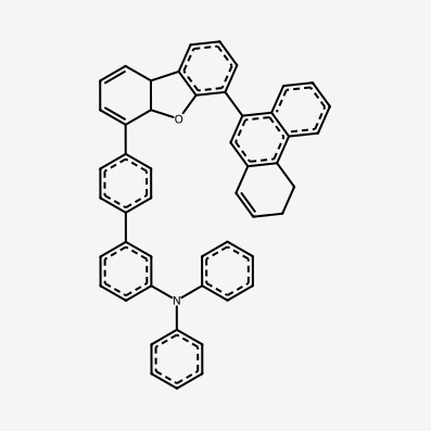 C1=CC2c3cccc(-c4cc5c(c6ccccc46)CCC=C5)c3OC2C(c2ccc(-c3cccc(N(c4ccccc4)c4ccccc4)c3)cc2)=C1